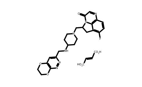 O=C(O)C=CC(=O)O.O=c1cnc2ccc(F)c3c2n1C(CN1CCC(NCc2cc4c(nn2)OCCO4)CC1)C3